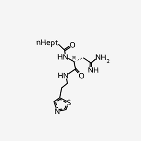 CCCCCCCC(=O)N[C@H](CC(=N)N)C(=O)NCCc1cncs1